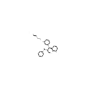 CC(C)=CCCOc1cccc(-c2c(C(=O)c3ccccc3)cnc3c(C(F)(F)F)cccc23)c1